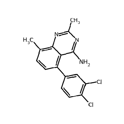 Cc1nc(N)c2c(-c3ccc(Cl)c(Cl)c3)ccc(C)c2n1